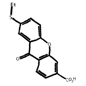 CCSc1ccc2oc3cc(C(=O)O)ccc3c(=O)c2c1